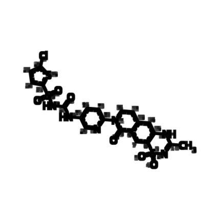 CC1=NS(=O)(=O)c2cc3c(=O)n(-c4ccc(NC(=O)NS(=O)(=O)c5ccc(Cl)s5)cn4)ccc3cc2N1